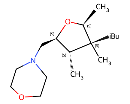 CCC(C)[C@]1(C)[C@H](C)O[C@H](CN2CCOCC2)[C@H]1C